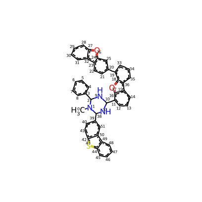 CN1C(c2ccccc2)NC(c2cccc3c2oc2c(-c4ccc5c(c4)oc4ccccc45)cccc23)NC1c1ccc2sc3ccccc3c2c1